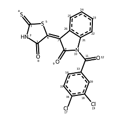 O=C1NC(=S)S/C1=C1/C(=O)N(C(=O)c2ccc(Cl)c(Cl)c2)c2ccccc21